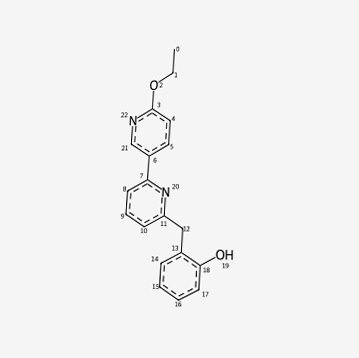 CCOc1ccc(-c2cccc(Cc3ccccc3O)n2)cn1